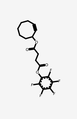 O=C(CCC(=O)OC1C#CCCCCC1)Oc1c(F)c(F)c(F)c(F)c1F